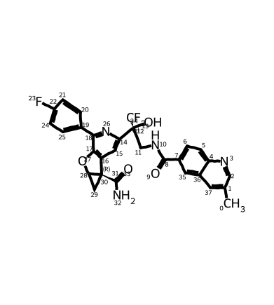 Cc1cnc2ccc(C(=O)NC[C@](O)(c3cc4c(c(-c5ccc(F)cc5)n3)OC3C[C@@]43C(N)=O)C(F)(F)F)cc2c1